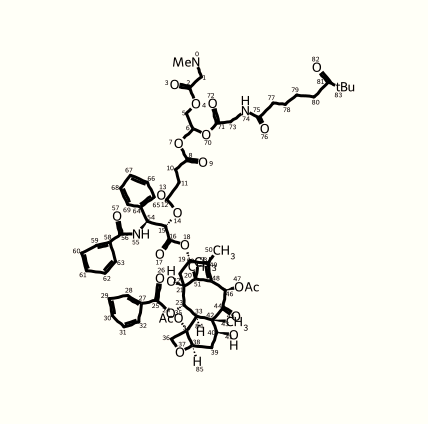 CNCC(=O)OCC(OC(=O)CCC(=O)O[C@H](C(=O)O[C@H]1C[C@@]2(O)[C@@H](OC(=O)c3ccccc3)[C@@H]3[C@]4(OC(C)=O)CO[C@@H]4C[C@H](O)[C@@]3(C)C(=O)[C@H](OC(C)=O)C(=C1C)C2(C)C)[C@@H](NC(=O)c1ccccc1)c1ccccc1)OC(=O)CNC(=O)CCCCC(=O)C(C)(C)C